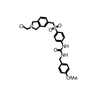 COc1ccc(CNC(=O)Nc2ccc(S(=O)(=O)Cc3ccc4c(c3)CN(CCl)C4)cc2)cc1